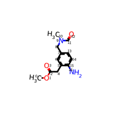 COC(=O)Cc1cc(CN(C)C=O)ccc1N